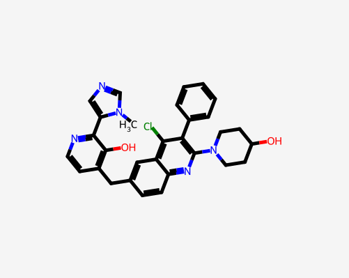 Cn1cncc1-c1nccc(Cc2ccc3nc(N4CCC(O)CC4)c(-c4ccccc4)c(Cl)c3c2)c1O